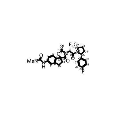 CNC(=O)Nc1ccc2c(c1)CCC21OC(=O)N(CC(=O)N2[C@H](C(F)(F)F)CC[C@H]2c2ccc(F)cc2)C1=O